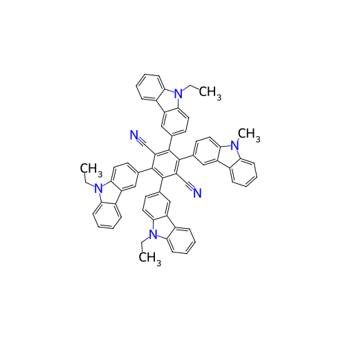 CCn1c2ccccc2c2cc(-c3c(C#N)c(-c4ccc5c(c4)c4ccccc4n5CC)c(-c4ccc5c(c4)c4ccccc4n5CC)c(C#N)c3-c3ccc4c(c3)c3ccccc3n4C)ccc21